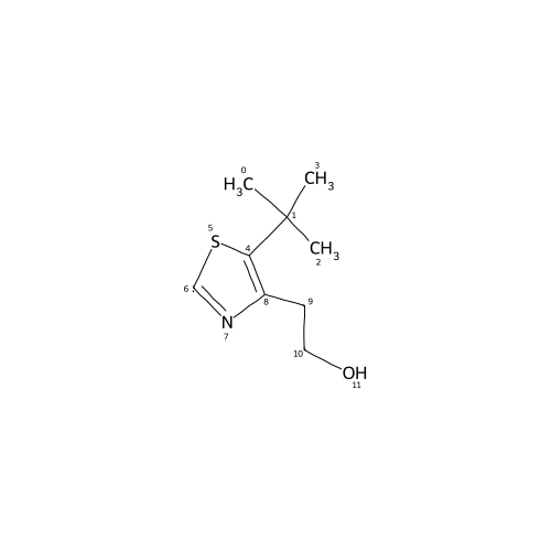 CC(C)(C)c1s[c]nc1CCO